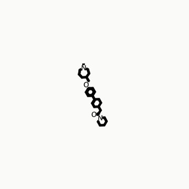 CN1CCCC(COc2ccc(C3=CCC(CC(=O)N4CCCCC4)CC3)cc2)CC1